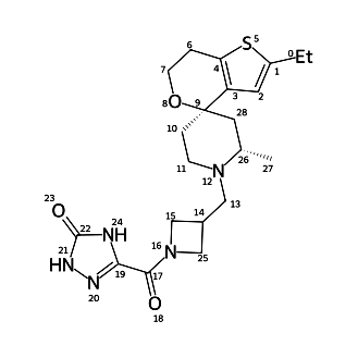 CCc1cc2c(s1)CCO[C@@]21CCN(CC2CN(C(=O)c3n[nH]c(=O)[nH]3)C2)[C@@H](C)C1